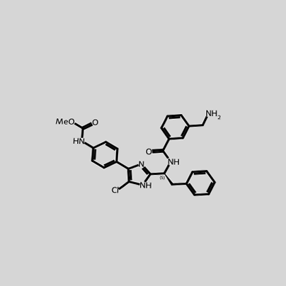 COC(=O)Nc1ccc(-c2nc([C@H](Cc3ccccc3)NC(=O)c3cccc(CN)c3)[nH]c2Cl)cc1